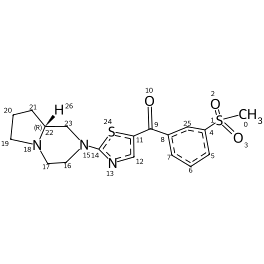 CS(=O)(=O)c1cccc(C(=O)c2cnc(N3CCN4CCC[C@@H]4C3)s2)c1